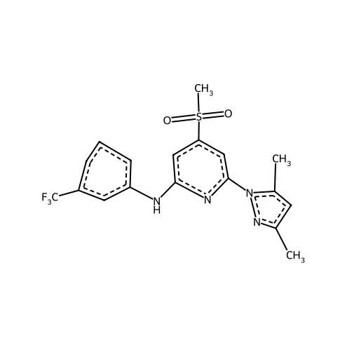 Cc1cc(C)n(-c2cc(S(C)(=O)=O)cc(Nc3cccc(C(F)(F)F)c3)n2)n1